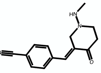 CNN1CCC(=O)/C(=C/c2ccc(C#N)cc2)C1